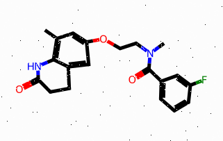 Cc1cc(OCCN(C)C(=O)c2cccc(F)c2)cc2c1NC(=O)CC2